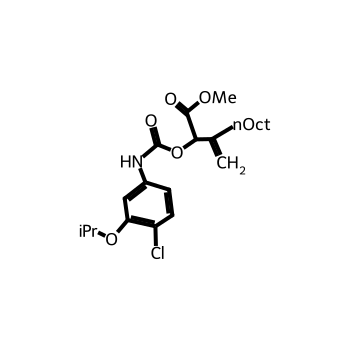 C=C(CCCCCCCC)C(OC(=O)Nc1ccc(Cl)c(OC(C)C)c1)C(=O)OC